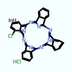 Cl.Clc1cccc2c3nc4nc(nc5[nH]c(nc6nc(nc([nH]3)c12)-c1ccccc1-6)c1ccccc51)-c1ccccc1-4.[InH3]